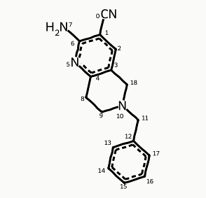 N#Cc1cc2c(nc1N)CCN(Cc1ccccc1)C2